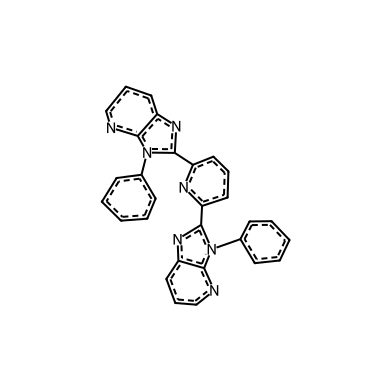 c1ccc(-n2c(-c3cccc(-c4nc5cccnc5n4-c4ccccc4)n3)nc3cccnc32)cc1